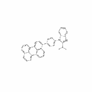 CC(C)c1nc2ccccc2n1-c1ccc(-c2ccc3c4cccc5cccc(c6cccc2c63)c54)cc1